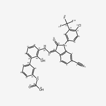 N#Cc1ccc2c(c1)N(c1ccc(Cl)c(C(F)(F)F)c1)C(=O)C2=NNc1cccc(-c2cccc(OC(=O)O)c2)c1O